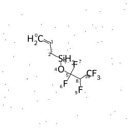 C=CC[SiH2]OC(F)(F)C(F)C(F)(F)F